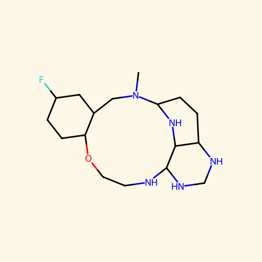 CN1CC2CC(F)CCC2OCCNC2NCNC3CCC1NC32